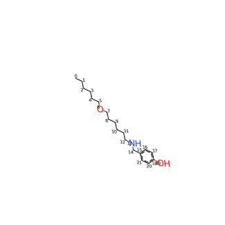 CCCCCCOCCCCCCNCc1ccc(O)cc1